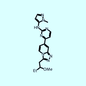 CCC(Cc1nnc2cc(-c3ccnc(Nc4ccnn4C)n3)ccn12)OC